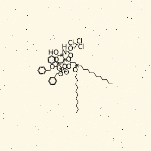 CCCCCCCCCCCCO[C@H](CCCCCCCCCCC)CC(=O)O[C@H]1[C@H](OP(=O)(OCc2ccccc2)OCc2ccccc2)[C@@H](COCc2ccccc2)OC(O)[C@@H]1NC(=O)OCC(Cl)(Cl)Cl